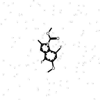 COC(=O)n1c(C)cc2c(F)c(OC)cc(F)c21